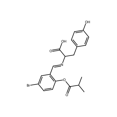 CC(C)C(=O)Oc1ccc(Br)cc1C=NC(Cc1ccc(O)cc1)C(=O)O